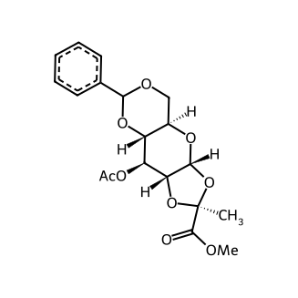 COC(=O)[C@]1(C)O[C@H]2O[C@@H]3COC(c4ccccc4)O[C@H]3[C@H](OC(C)=O)[C@H]2O1